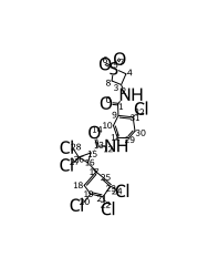 O=C(NC1CS(=O)(=O)C1)c1cc(NC(=O)[C@@H]2[C@@H](c3cc(Cl)c(Cl)c(Cl)c3)C2(Cl)Cl)ccc1Cl